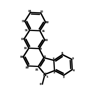 Cn1c2ccccc2c2c3cc4ccccc4cc3ccc21